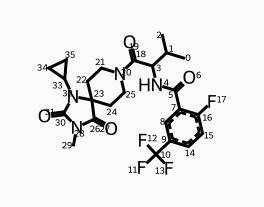 CC(C)C(NC(=O)c1cc(C(F)(F)F)ccc1F)C(=O)N1CCC2(CC1)C(=O)N(C)C(=O)N2C1CC1